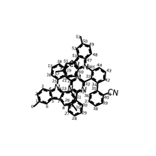 Cc1ccc2c(c1)c1cc(C)ccc1n2-c1cccc(C#N)c1-c1nc(-c2ccccc2)nc(-c2c(-c3ccccc3C#N)cccc2-n2c3ccc(C)cc3c3cc(C)ccc32)n1